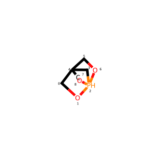 C1O[PH]23CC1(CO2)CO3